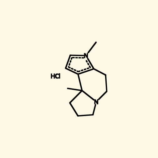 Cl.Cn1ccc2c1CCN1CCCC21C